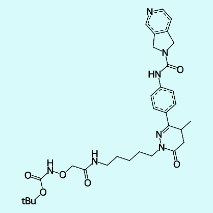 CC1CC(=O)N(CCCCCNC(=O)CONC(=O)OC(C)(C)C)N=C1c1ccc(NC(=O)N2Cc3ccncc3C2)cc1